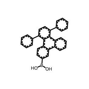 OB(O)c1ccc2c(c1)c1ccccc1c1c(-c3ccccc3)ccc(-c3ccccc3)c21